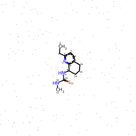 CCc1ccc2c(n1)C(NC(=S)NC)CCC2